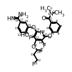 CN(C)C(=O)c1cccc(Oc2nc(Oc3cc(C(=N)N)ccc3O)c(F)c(OC(F)CCF)c2F)c1